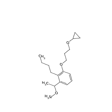 CCCCc1c(OCCCOC2CC2)cccc1C(C)O[SiH3]